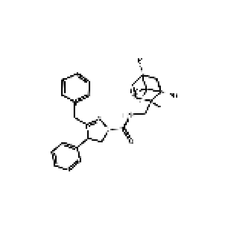 CC1(C)[C@H]2CC[C@@H](CNC(=O)N3CC(c4ccccc4)C(Cc4ccccc4)=N3)[C@@H]1C2